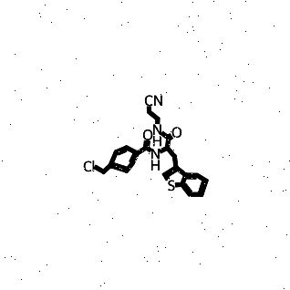 N#CCCNC(=O)C(Cc1csc2ccccc12)NC(=O)c1ccc(CCl)cc1